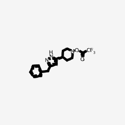 O=C(ON1CCC(c2cc(Cc3ccccc3)n[nH]2)CC1)C(F)(F)F